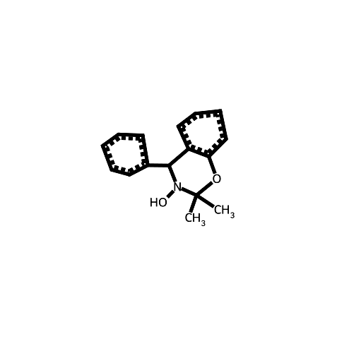 CC1(C)Oc2ccccc2C(c2ccccc2)N1O